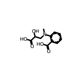 CN(CC(O)C(=O)O)c1ccccc1C(=O)O